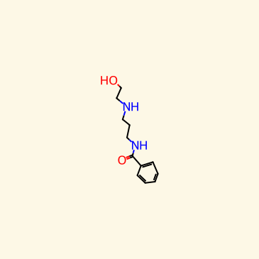 O=C(NCCCNCCO)c1ccccc1